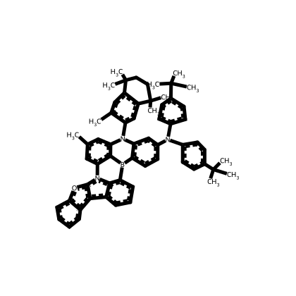 Cc1cc2c3c(c1)-n1c4oc5ccccc5c4c4cccc(c41)B3c1ccc(N(c3ccc(C(C)(C)C)cc3)c3ccc(C(C)(C)C)cc3)cc1N2c1cc2c(cc1C)C(C)(C)CCC2(C)C